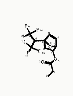 CCC(=O)OC1CC2(C(C(F)(F)F)C(F)(F)F)C=CC1O2